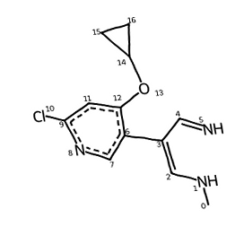 CN/C=C(\C=N)c1cnc(Cl)cc1OC1CC1